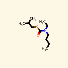 [CH2]CN(CCCC)C(=O)SCC(C)C